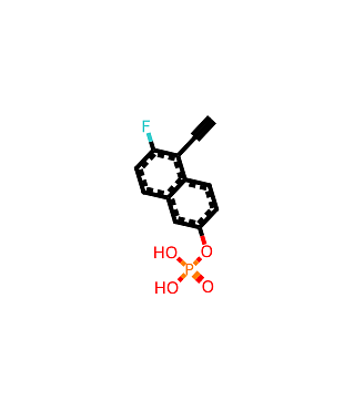 C#Cc1c(F)ccc2cc(OP(=O)(O)O)ccc12